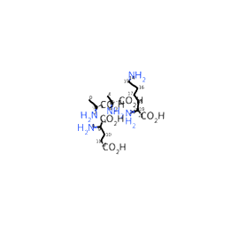 C[C@@H](N)C(=O)O.C[C@@H](N)C(=O)O.NC(CCC(=O)O)C(=O)O.NCCCC[C@H](N)C(=O)O